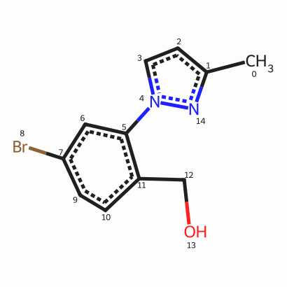 Cc1ccn(-c2cc(Br)ccc2CO)n1